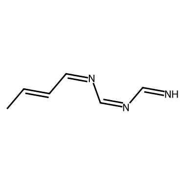 C/C=C/C=N\C=N/C=N